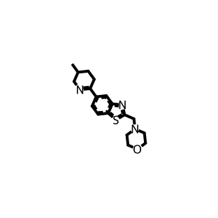 CC1CCC(c2ccc3sc(CN4CCOCC4)nc3c2)=NC1